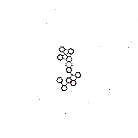 c1ccc(-c2ccccc2-c2ccc(N(c3ccc4c(c3)OC3=C(O4)C4=C(CC3)C3(c5ccccc54)c4ccccc4-c4ccccc43)c3ccccc3-c3ccccc3)cc2)cc1